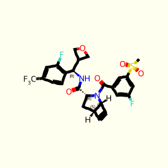 CS(=O)(=O)c1cc(F)cc(C(=O)N2[C@@H](C(=O)N[C@@H](c3ccc(C(F)(F)F)cc3F)C3COC3)C[C@H]3C#C[C@H]32)c1